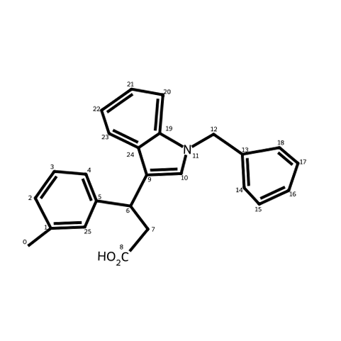 Cc1cccc(C(CC(=O)O)c2cn(Cc3ccccc3)c3ccccc23)c1